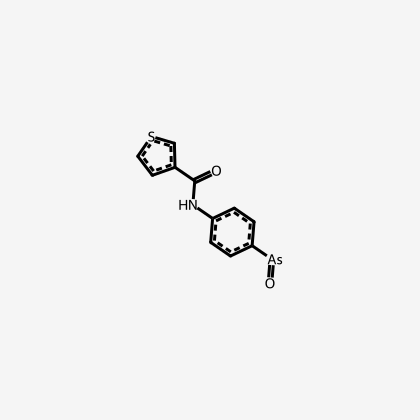 O=[As]c1ccc(NC(=O)c2ccsc2)cc1